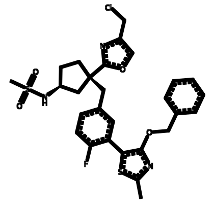 Cc1nc(OCc2ccccc2)c(-c2cc(C[C@]3(c4nc(CCl)co4)CC[C@H](NS(C)(=O)=O)C3)ccc2F)s1